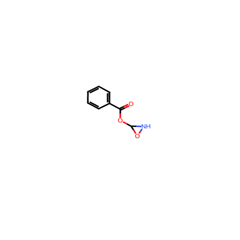 O=C(OC1NO1)c1ccccc1